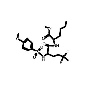 CCCCC(NC(=O)C(CCC(C)(F)F)NS(=O)(=O)c1ccc(OC)cc1)C(=O)OC